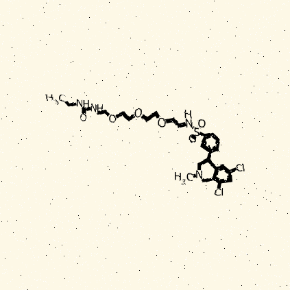 CCNC(=O)NCCOCCOCCOCCNS(=O)(=O)c1cccc(C2CN(C)Cc3c(Cl)cc(Cl)cc32)c1